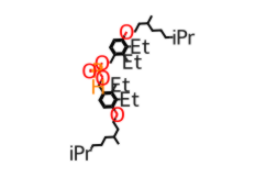 CCc1c(CO[PH](=O)OCc2ccc(OCCC(C)CCCC(C)C)c(CC)c2CC)ccc(OCCC(C)CCCC(C)C)c1CC